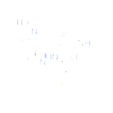 CN/C(=C(/Br)C(=N)Cl)[C@H]1CN(C)C(=O)[C@@H]1C(=O)Nc1cccc(F)c1C(C)(F)F